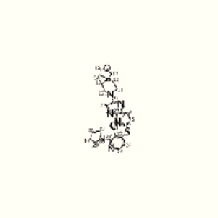 Clc1c(Sc2ccc3nc(N4CCC5(CCOC5)CC4)cnc3n2)ccnc1N1CCCC1